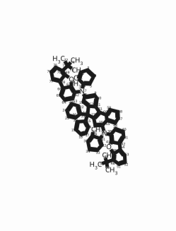 Cc1ccccc1N(c1ccc2c(c1)C(c1ccccc1)(c1ccccc1)c1cc(N(c3ccccc3C)c3cccc4c3oc3c(C(C)(C)C)cccc34)c3ccccc3c1-2)c1cccc2c1oc1c(C(C)(C)C)cccc12